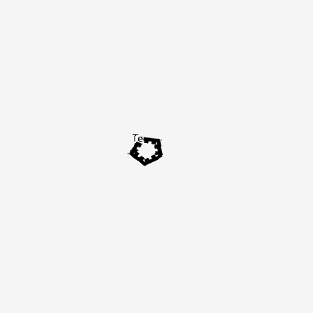 [c]1cc[c][te]1